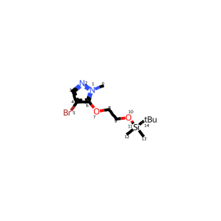 Cn1ncc(Br)c1OCCO[Si](C)(C)C(C)(C)C